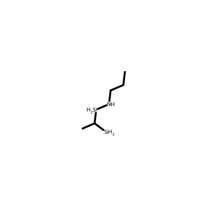 CCCN[SiH2]C(C)[SiH3]